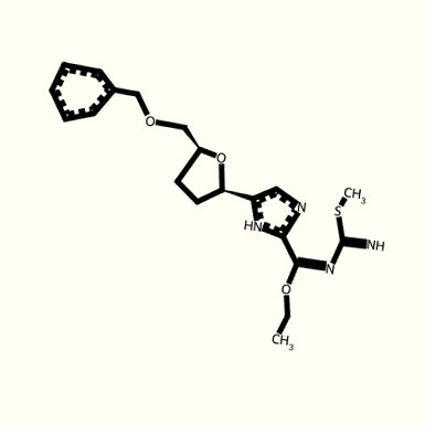 CCO/C(=N/C(=N)SC)c1ncc([C@H]2CC[C@@H](COCc3ccccc3)O2)[nH]1